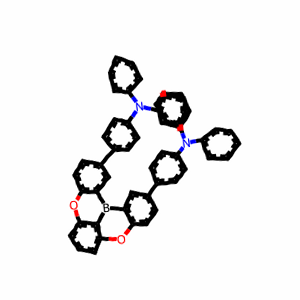 c1ccc(N(c2ccccc2)c2ccc(-c3ccc4c(c3)B3c5cc(-c6ccc(N(c7ccccc7)c7ccccc7)cc6)ccc5Oc5cccc(c53)O4)cc2)cc1